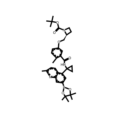 Cc1ccc2c(C3(NC(=O)c4cc(OC[C@@H]5CCN5C(=O)OC(C)(C)C)ccc4C)CC3)cc(B3OC(C)(C)C(C)(C)O3)cc2n1